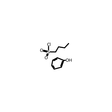 CCCCS(=O)(=O)Cl.Oc1ccccc1